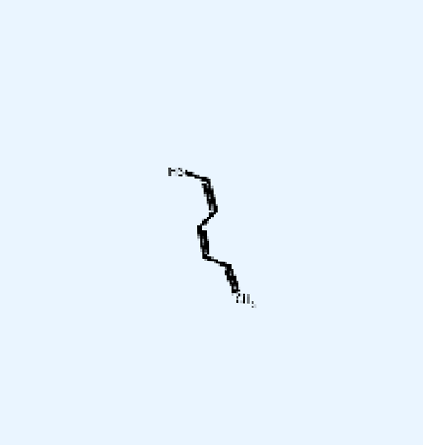 C=C/C=C\C=C/S